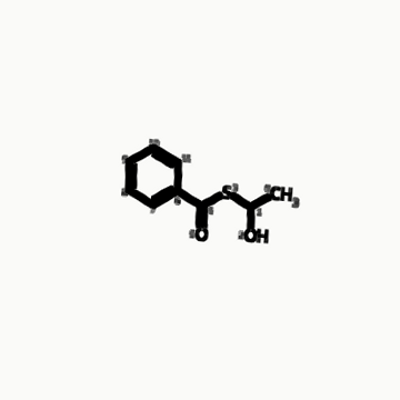 CC(O)SC(=O)c1ccccc1